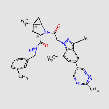 CC(=O)c1nn(CC(=O)N2C3C[C@]3(C)C[C@H]2C(=O)NCc2cccc(C)c2)c2c(C)cc(-c3cnc(C)nc3)cc12